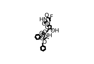 C[C@H](NP(=O)(OCC1O[C@@H](n2cc(F)c(=O)[nH]c2=O)C[C@H]1O)Oc1ccccc1)C(=O)OCc1ccccc1